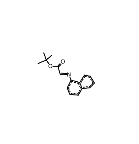 CC(C)(C)OC(=O)C=Nc1cccc2ccccc12